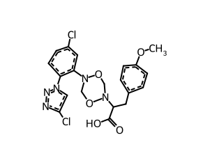 COc1ccc(CC(C(=O)O)N2CON(c3cc(Cl)ccc3-n3cc(Cl)nn3)CO2)cc1